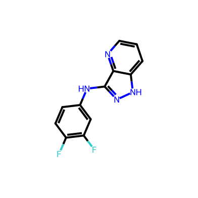 Fc1ccc(Nc2n[nH]c3cccnc23)cc1F